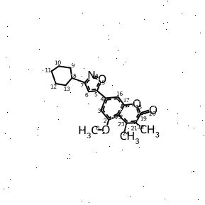 COc1cc(-c2cc(C3CCCCC3)no2)cc2oc(=O)c(C)c(C)c12